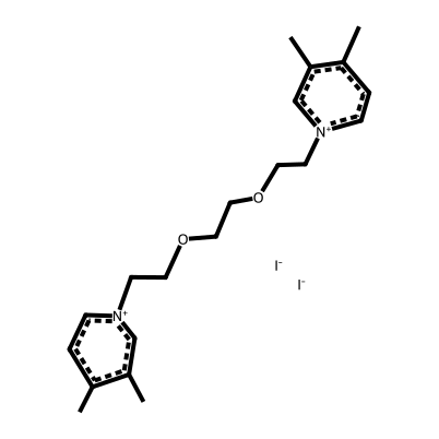 Cc1cc[n+](CCOCCOCC[n+]2ccc(C)c(C)c2)cc1C.[I-].[I-]